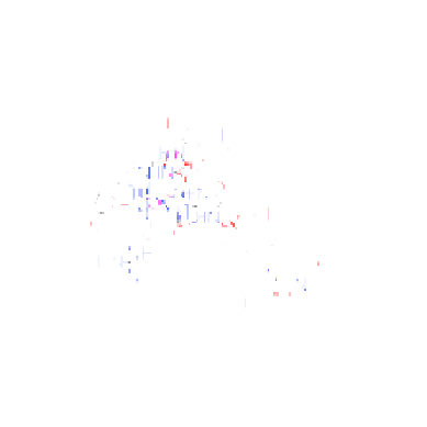 CCN(CCN(CCN(CCN(C)CC(=O)OC)CC(=O)O)CC(=O)OC)CC(=O)N[C@@H](CC(=O)O)C(=O)N[C@@H](CC1CCCCC1)C(=O)NC(Cc1ccccc1)C(=O)NC(CO)C(=O)NC(CCCNC(=N)N)C(=O)N[C@@H](Cc1ccc(O)cc1)C(=O)N[C@@H](CC(C)C)C(=O)N[C@@H](Cc1c[nH]c2ccccc12)C(=O)N[C@@H](CO)C(N)=O